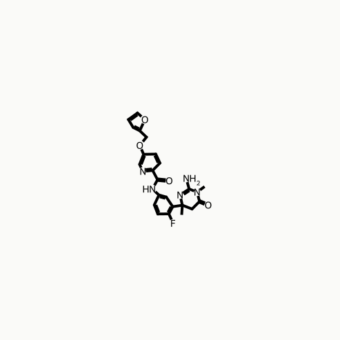 CN1C(=O)CC(C)(c2cc(NC(=O)c3ccc(OCc4ccco4)cn3)ccc2F)N=C1N